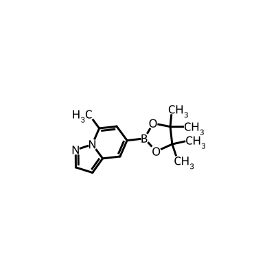 Cc1cc(B2OC(C)(C)C(C)(C)O2)cc2ccnn12